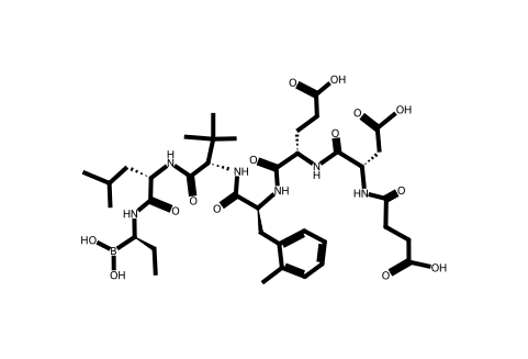 CC[C@H](NC(=O)[C@H](CC(C)C)NC(=O)[C@@H](NC(=O)[C@H](Cc1ccccc1C)NC(=O)[C@H](CCC(=O)O)NC(=O)[C@H](CC(=O)O)NC(=O)CCC(=O)O)C(C)(C)C)B(O)O